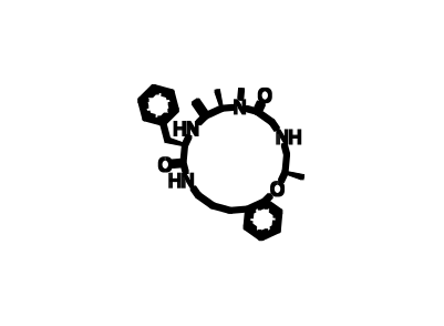 C=C1N[C@H](Cc2ccccc2)C(=O)NCCCc2ccccc2O[C@H](C)CNCC(=O)N(C)[C@@H]1C